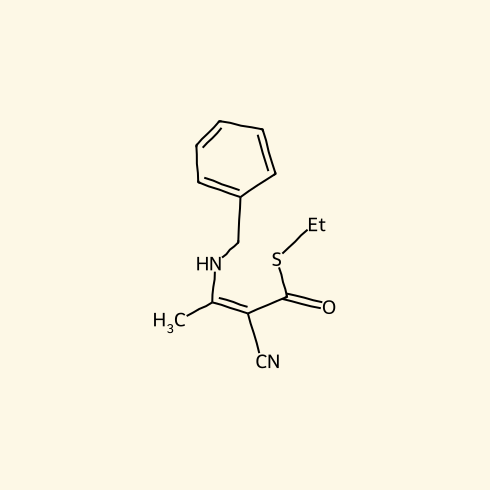 CCSC(=O)C(C#N)=C(C)NCc1ccccc1